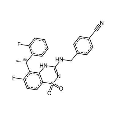 C[C@H](c1ccccc1F)c1c(F)ccc2c1NC(NCc1ccc(C#N)cc1)=NS2(=O)=O